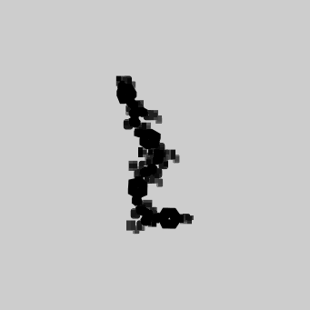 Cc1nc(-c2ccc(C(C)C)cc2)sc1C(=O)NCc1ccc(OC(C)(C)C(=O)OC(=O)C(C)(C)Oc2ccc(CNC(=O)c3sc(-c4ccc([N+](=O)[O-])cc4)nc3C)cc2)cc1